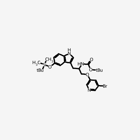 CC(C)(C)OC(=O)NC(COc1cncc(Br)c1)Cc1c[nH]c2ccc(O[Si](C)(C)C(C)(C)C)cc12